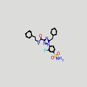 CN(CCc1ccccc1)C(=O)c1nc(Cc2ccccc2)n(-c2ccc(S(N)(=O)=O)cc2F)n1